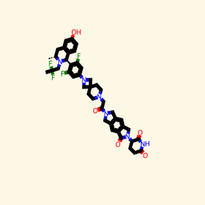 C[C@@H]1Cc2cc(O)ccc2[C@@H](c2c(F)cc(N3CC4(CCN(CC(=O)N5Cc6cc7c(cc6C5)C(=O)N(C5CCC(=O)NC5=O)C7)CC4)C3)cc2F)N1CC(C)(F)F